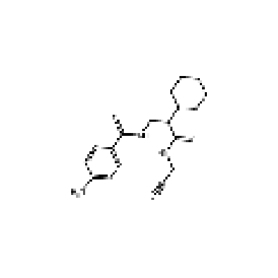 N#CCNC(=O)C(CNC(=O)c1ccc(N)cc1)C1CCCCC1